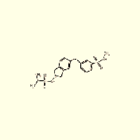 CNS(=O)(=O)c1cccc(Oc2ccc3c(c2)C[C@H](NS(=O)(=O)C(C)C)C3)c1